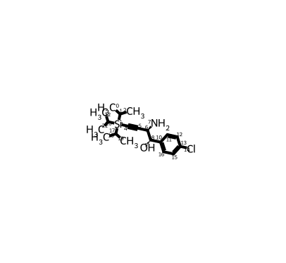 CC(C)[Si](C#C[C@@H](N)[C@@H](O)c1ccc(Cl)cc1)(C(C)C)C(C)C